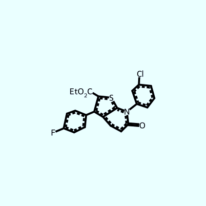 CCOC(=O)c1sc2c(ccc(=O)n2-c2cccc(Cl)c2)c1-c1ccc(F)cc1